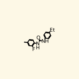 CCc1ccc(NC(=O)Nc2ccc(C)cc2F)cc1